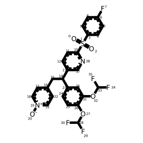 O=S(=O)(c1ccc(F)cc1)c1ccc(C(Cc2cc[n+]([O-])cc2)c2ccc(OC(F)F)c(OC(F)F)c2)cn1